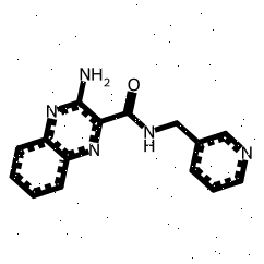 Nc1nc2ccccc2nc1C(=O)NCc1cccnc1